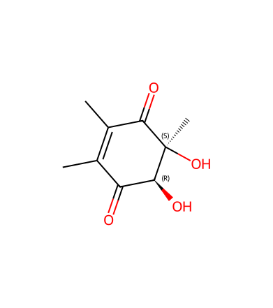 CC1=C(C)C(=O)[C@@](C)(O)[C@@H](O)C1=O